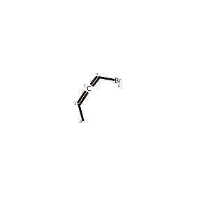 CC=C=CBr